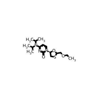 CCOCC1O[C@H](n2ccc(N(C(C)C)C(C)C)nc2=O)CS1